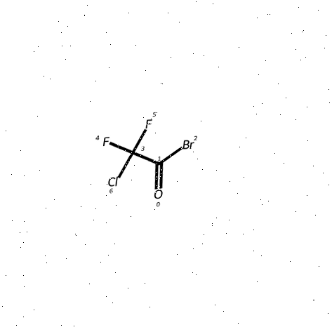 O=C(Br)C(F)(F)Cl